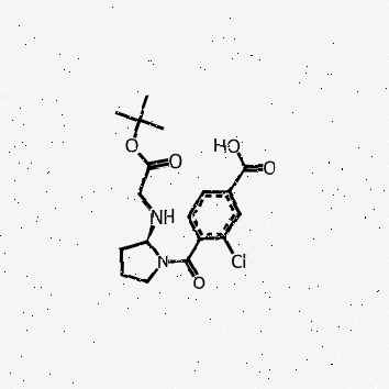 CC(C)(C)OC(=O)CN[C@@H]1CCCN1C(=O)c1ccc(C(=O)O)cc1Cl